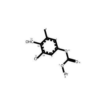 Cc1cc(OC(=O)OC(C)C)cc(Cl)c1C=O